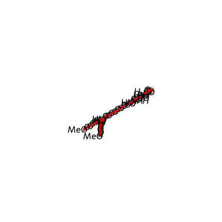 COCCOCCOCCOCCNC(=O)CC[C@H](NC(=O)CCOCCOCCOCCOCCOCCOCCOCCOCCNC(=O)CNC(=O)CNC(=O)CNC(=O)CNC(=O)CNC(=O)CN1C(=O)C=CC1=O)C(=O)NCCOCCOCCOCCOC